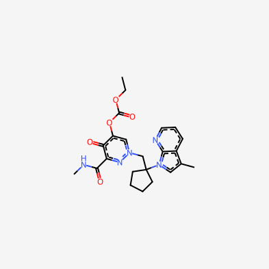 CCOC(=O)Oc1cn(CC2(n3cc(C)c4cccnc43)CCCC2)nc(C(=O)NC)c1=O